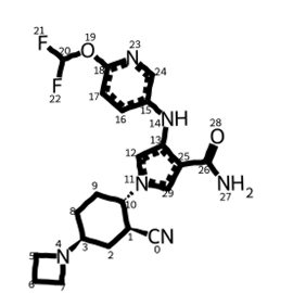 N#C[C@H]1C[C@@H](N2CCC2)CC[C@@H]1n1cc(Nc2ccc(OC(F)F)nc2)c(C(N)=O)c1